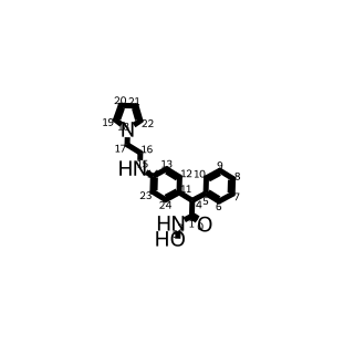 O=C(NO)C(c1ccccc1)c1ccc(NCCn2cccc2)cc1